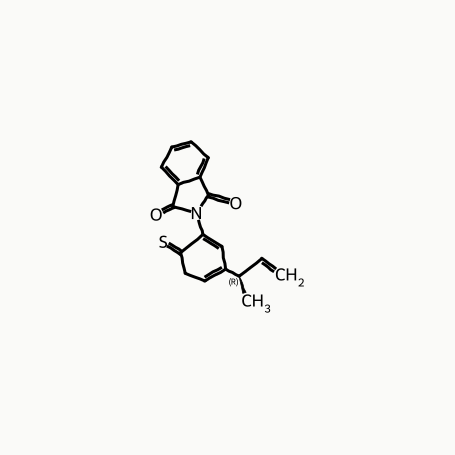 C=C[C@@H](C)C1=CCC(=S)C(N2C(=O)c3ccccc3C2=O)=C1